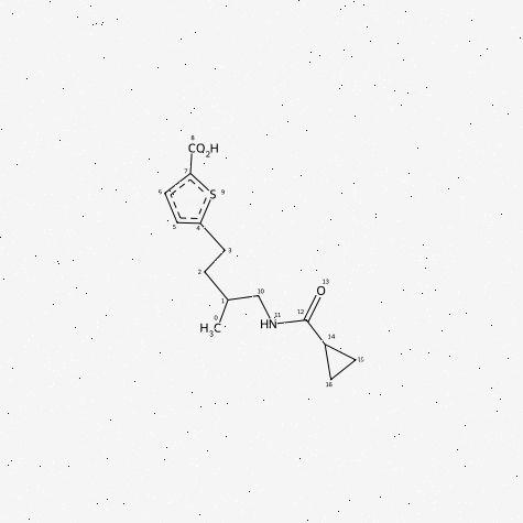 CC(CCc1ccc(C(=O)O)s1)CNC(=O)C1CC1